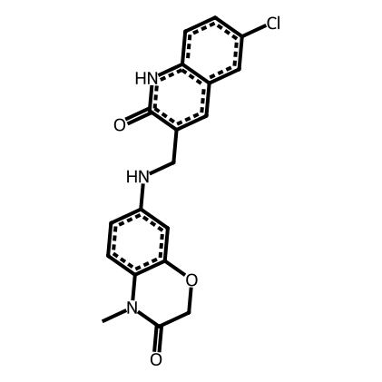 CN1C(=O)COc2cc(NCc3cc4cc(Cl)ccc4[nH]c3=O)ccc21